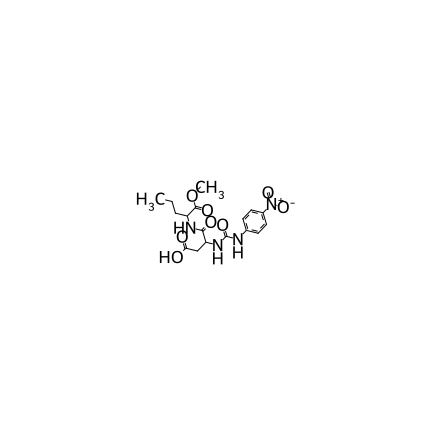 CCCC(NC(=O)C(CC(=O)O)NC(=O)Nc1ccc([N+](=O)[O-])cc1)C(=O)OC